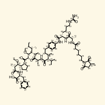 CC[C@H](C)[C@@H]([C@@H](CC(=O)N1CCC[C@H]1[C@H](OC)[C@@H](C)C(=O)N[C@@H](Cc1ccccc1)C(=O)O)OC)N(C)C(=O)[C@H](C)NC(=O)[C@H](C(C)C)N(C)CCc1ccc(NC(=O)[C@H](CCCCNC(N)=O)NC(=O)[C@H](C)NC(=O)CCCCCN2C(=O)CC(C)C2=O)cc1